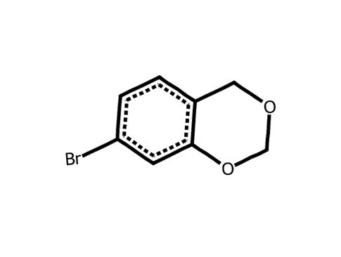 Brc1ccc2c(c1)OCOC2